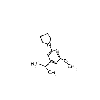 COc1cc(C(C)C)cc(N2CCCC2)n1